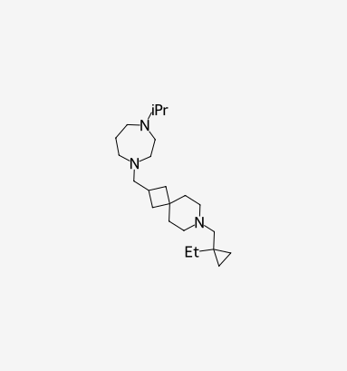 CCC1(CN2CCC3(CC2)CC(CN2CCCN(C(C)C)CC2)C3)CC1